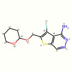 Nc1nncc2sc(COC3CCCCO3)c(F)c12